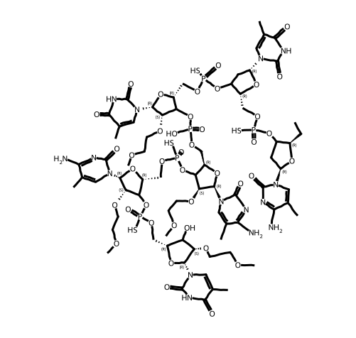 CC[C@H]1O[C@@H](n2cc(C)c(N)nc2=O)CC1OP(=O)(S)OC[C@H]1O[C@@H](n2cc(C)c(=O)[nH]c2=O)CC1OP(=O)(S)OC[C@H]1O[C@@H](n2cc(C)c(=O)[nH]c2=O)[C@@H](OCCOC)C1OP(=O)(O)OC[C@H]1O[C@@H](n2cc(C)c(N)nc2=O)[C@@H](OCCOC)C1OP(=O)(S)OC[C@H]1O[C@@H](n2cc(C)c(N)nc2=O)[C@@H](OCCOC)C1OP(=O)(S)OC[C@H]1O[C@@H](n2cc(C)c(=O)[nH]c2=O)[C@@H](OCCOC)C1O